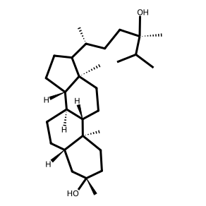 CC(C)[C@](C)(O)CC[C@@H](C)C1CC[C@H]2[C@@H]3CC[C@H]4C[C@@](C)(O)CC[C@]4(C)[C@H]3CC[C@]12C